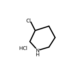 Cl.ClC1CCCNC1